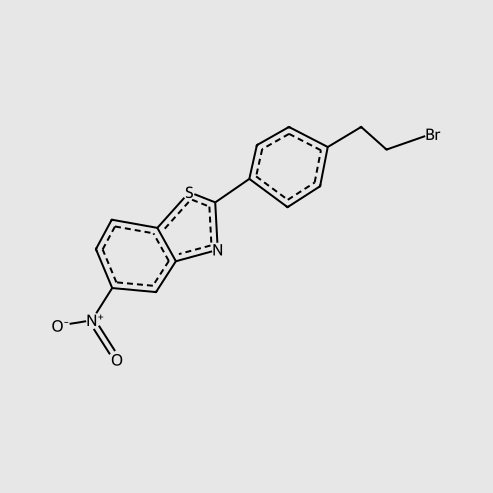 O=[N+]([O-])c1ccc2sc(-c3ccc(CCBr)cc3)nc2c1